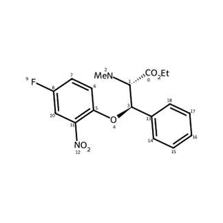 CCOC(=O)[C@@H](NC)[C@H](Oc1ccc(F)cc1[N+](=O)[O-])c1ccccc1